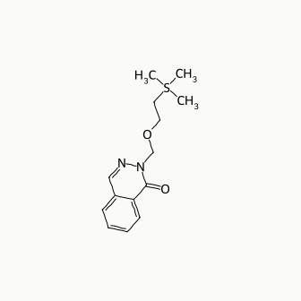 CS(C)(C)CCOCn1ncc2ccccc2c1=O